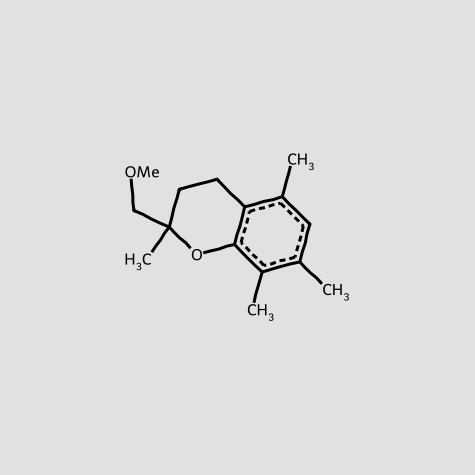 COCC1(C)CCc2c(C)cc(C)c(C)c2O1